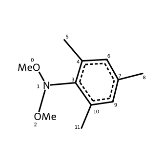 CON(OC)c1c(C)cc(C)cc1C